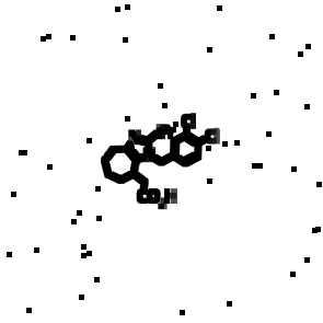 CC(C)c1nc2c(n1Cc1ccc(Cl)c(Cl)c1)C(CC(=O)O)CCCC2